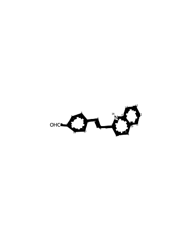 O=Cc1ccc(C=Cc2ccc3ccccc3n2)cc1